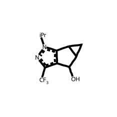 CC(C)n1nc(C(F)(F)F)c2c1C1CC1C2O